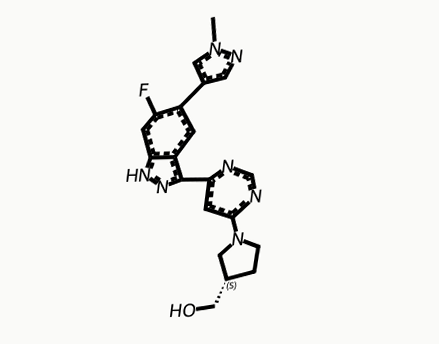 Cn1cc(-c2cc3c(-c4cc(N5CC[C@H](CO)C5)ncn4)n[nH]c3cc2F)cn1